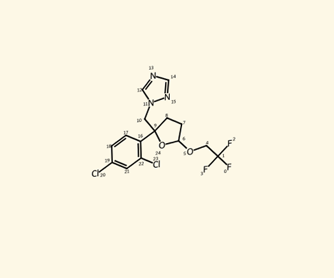 FC(F)(F)COC1CCC(Cn2cncn2)(c2ccc(Cl)cc2Cl)O1